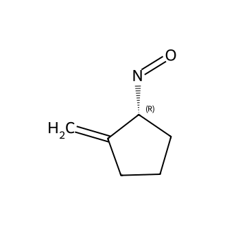 C=C1CCC[C@H]1N=O